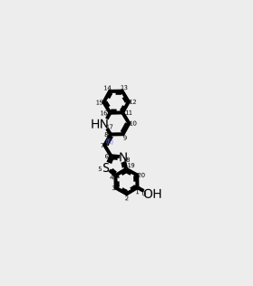 Oc1ccc2sc(/C=C3\C=Cc4ccccc4N3)nc2c1